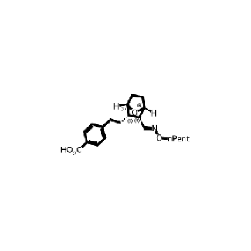 CCCCCON=C[C@H]1[C@H](CCc2ccc(C(=O)O)cc2)[C@@H]2CC[C@H]1O2